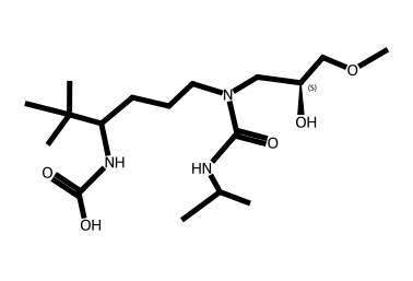 COC[C@@H](O)CN(CCCC(NC(=O)O)C(C)(C)C)C(=O)NC(C)C